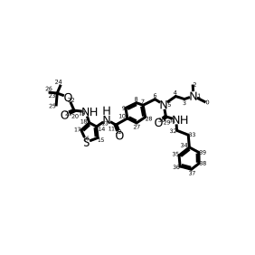 CN(C)CCN(Cc1ccc(C(=O)Nc2cscc2NC(=O)OC(C)(C)C)cc1)C(=O)NCCc1ccccc1